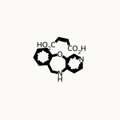 O=C(O)/C=C\C(=O)O.c1ccc2c(c1)CNc1ccncc1O2